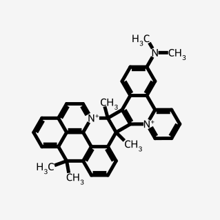 CN(C)c1ccc2c3c([n+]4ccccc4c2c1)C1(C)c2cccc4c2-c2c5c(cccc5cc[n+]2C31C)C4(C)C